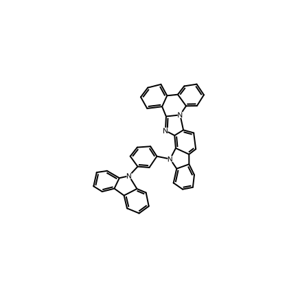 c1cc(-n2c3ccccc3c3ccccc32)cc(-n2c3ccccc3c3ccc4c(nc5c6ccccc6c6ccccc6n45)c32)c1